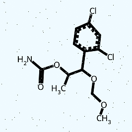 COCOC(c1ccc(Cl)cc1Cl)C(C)OC(N)=O